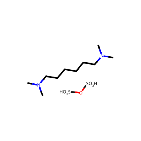 CN(C)CCCCCCN(C)C.O=S(=O)(O)OS(=O)(=O)O